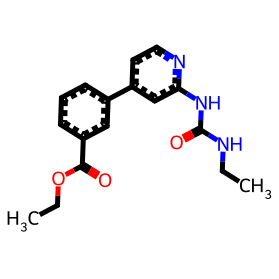 CCNC(=O)Nc1cc(-c2cccc(C(=O)OCC)c2)ccn1